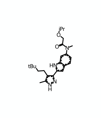 Cc1[nH]nc(-c2cc3ccc(N(C)C(=O)COC(C)C)cc3[nH]2)c1CCC(C)(C)C